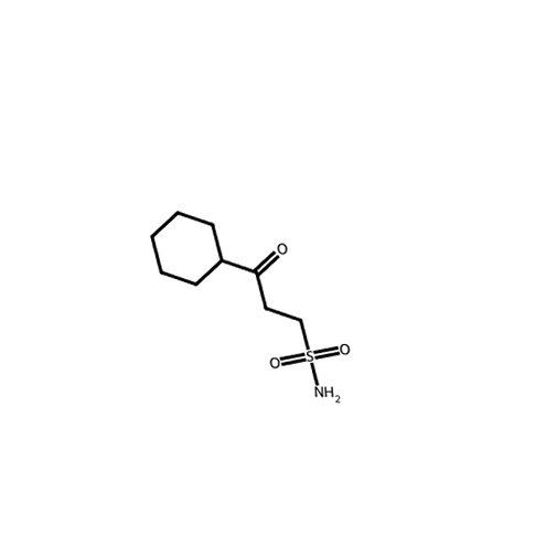 NS(=O)(=O)CCC(=O)C1CCCCC1